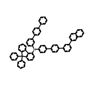 c1ccc(-c2ccc(-c3cccc(N(c4ccc(-c5ccc(-c6cccc(-c7ccc8ccccc8c7)c6)cc5)cc4)c4cccc5c4-c4ccccc4C5(c4ccccc4)c4ccccc4)c3)cc2)cc1